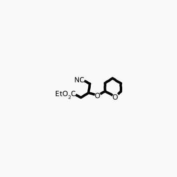 CCOC(=O)CC(CC#N)OC1CCCCO1